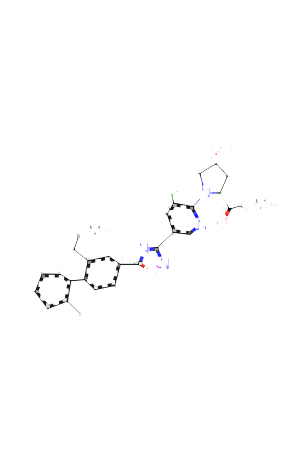 COCc1cc(-c2nc(-c3cnc(N4C[C@H](O)C[C@H]4C(=O)OC)c(Cl)c3)no2)ccc1-c1ccccc1C